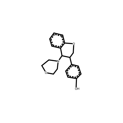 Oc1ccc(C2COc3ccccc3C2N2CCOCC2)cc1